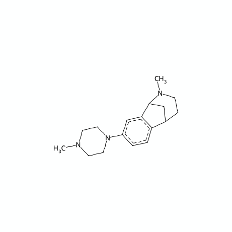 CN1CCN(c2ccc3c(c2)C2CC3CCN2C)CC1